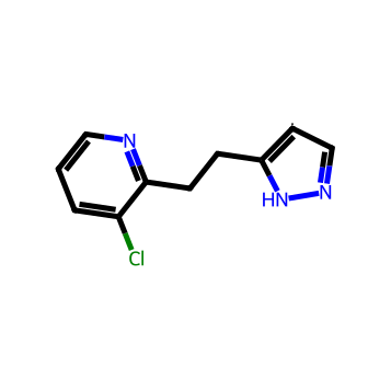 Clc1cccnc1CCc1[c]cn[nH]1